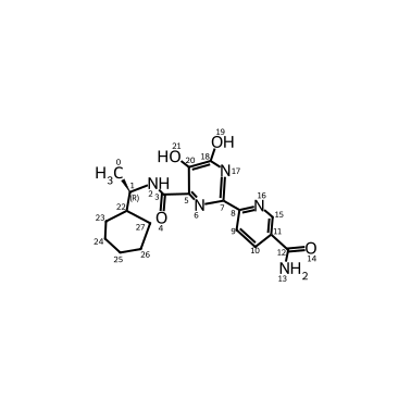 C[C@@H](NC(=O)c1nc(-c2ccc(C(N)=O)cn2)nc(O)c1O)C1CCCCC1